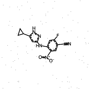 N#Cc1cc([N+](=O)[O-])c(Nc2cc(C3CC3)[nH]n2)cc1F